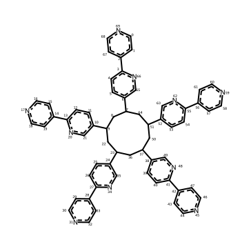 c1cc(-c2ccc(C3CC(c4ccc(-c5ccncc5)nc4)CC(c4ccc(-c5ccncc5)nc4)CC(c4ccc(-c5ccncc5)nc4)CC(c4ccc(-c5ccncc5)nc4)C3)cn2)ccn1